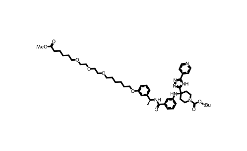 COC(=O)CCCCCOCCOCCOCCCCCCOc1cccc([C@H](C)NC(=O)c2cccc(NC3(c4nnc(-c5ccncc5)[nH]4)CCN(C(=O)OC(C)(C)C)CC3)c2)c1